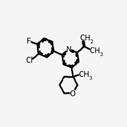 C=C(C)c1cc(C2(C)CCCOC2)cc(-c2ccc(F)c(Cl)c2)n1